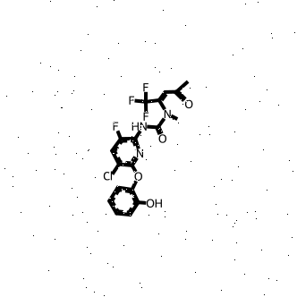 CC(=O)/C=C(\N(C)C(=O)Nc1nc(Oc2ccccc2O)c(Cl)cc1F)C(F)(F)F